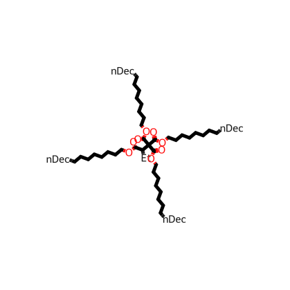 CCCCCCCCCCCCCCCCCCOC(=O)C(CC)C(C(=O)OCCCCCCCCCCCCCCCCCC)(C(=O)OCCCCCCCCCCCCCCCCCC)C(=O)OCCCCCCCCCCCCCCCCCC